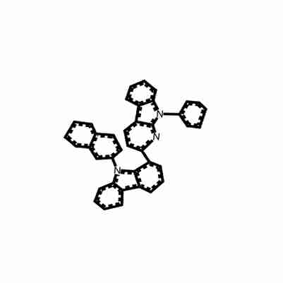 c1ccc(-n2c3ccccc3c3ccc(-c4cccc5c6ccccc6n(-c6ccc7ccccc7c6)c45)nc32)cc1